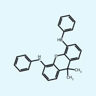 CC1(C)c2cccc(Bc3ccccc3)c2Oc2c(Pc3ccccc3)cccc21